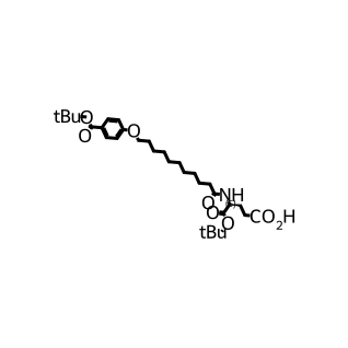 CC(C)(C)OC(=O)c1ccc(OCCCCCCCCCCC(=O)N[C@@H](CCC(=O)O)C(=O)OC(C)(C)C)cc1